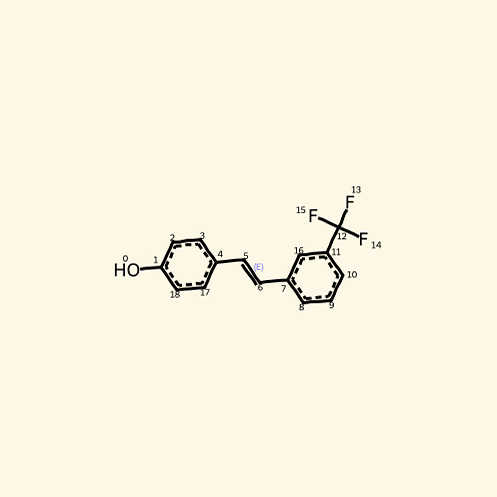 Oc1ccc(/C=C/c2cccc(C(F)(F)F)c2)cc1